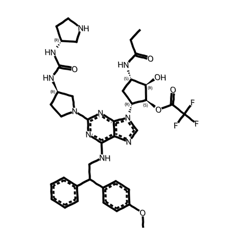 CCC(=O)N[C@H]1C[C@@H](n2cnc3c(NCC(c4ccccc4)c4ccc(OC)cc4)nc(N4CC[C@@H](NC(=O)N[C@@H]5CCNC5)C4)nc32)[C@H](OC(=O)C(F)(F)F)[C@@H]1O